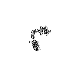 CN1C[C@H](Nc2nc3ccccn3c(=O)c2Br)C[C@H](c2ccc(OCC(=O)N(C)CCOc3cccc4c3C(=O)N(C3CCC(=O)NC3=O)C4=O)cc2)C1